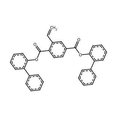 C=Cc1cc(C(=O)Oc2ccccc2-c2ccccc2)ccc1C(=O)Oc1ccccc1-c1ccccc1